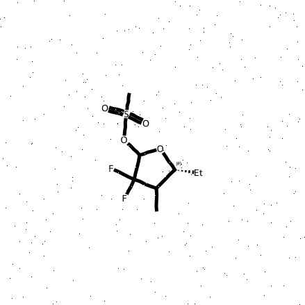 CC[C@H]1OC(OS(C)(=O)=O)C(F)(F)C1C